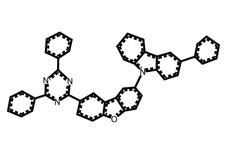 c1ccc(-c2ccc3c(c2)c2ccccc2n3-c2ccc3oc4ccc(-c5nc(-c6ccccc6)nc(-c6ccccc6)n5)cc4c3c2)cc1